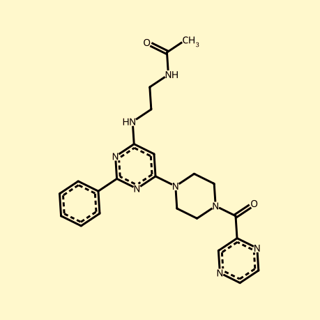 CC(=O)NCCNc1cc(N2CCN(C(=O)c3cnccn3)CC2)nc(-c2ccccc2)n1